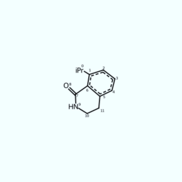 CC(C)c1cccc2c1C(=O)NCC2